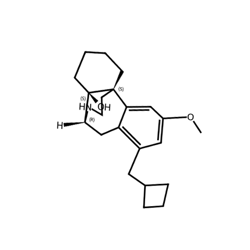 COc1cc(CC2CCC2)c2c(c1)[C@@]13CCCC[C@@]1(O)[C@@H](C2)NCC3